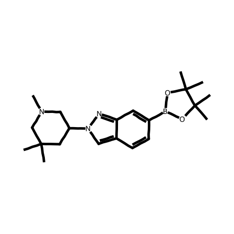 CN1CC(n2cc3ccc(B4OC(C)(C)C(C)(C)O4)cc3n2)CC(C)(C)C1